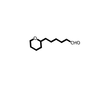 O=CCCCCCC1CCCCO1